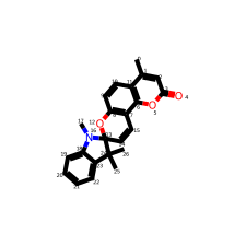 Cc1cc(=O)oc2c3c(ccc12)OC1(C=C3)N(C)c2ccccc2C1(C)C